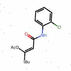 CC(=O)O/C(=C\C(=O)Nc1ccccc1Cl)C(C)(C)C